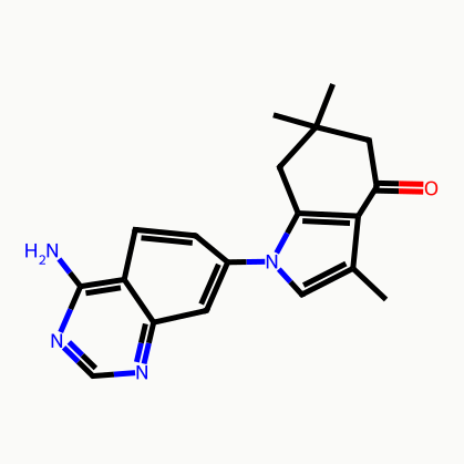 Cc1cn(-c2ccc3c(N)ncnc3c2)c2c1C(=O)CC(C)(C)C2